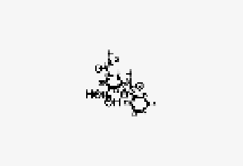 NC(=O)c1cc(NS(=O)(=O)c2ccccc2)cc(B(O)O)c1